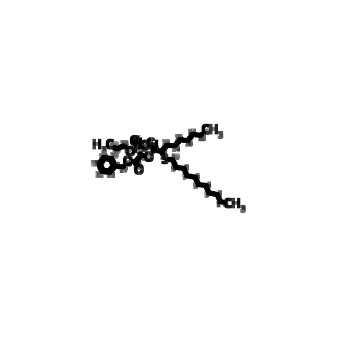 CCCCCCCCCCCSC(CCCCCCC)C(C)OC(C(=O)OCc1ccccc1)P(=O)(O)OCCC